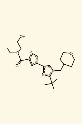 CCN(CCO)C(=O)c1cc(-c2cn(CC3CCOCC3)c(C(C)(C)C)n2)cs1